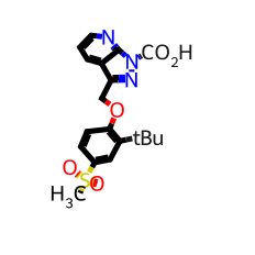 CC(C)(C)c1cc(S(C)(=O)=O)ccc1OCc1nn(C(=O)O)c2ncccc12